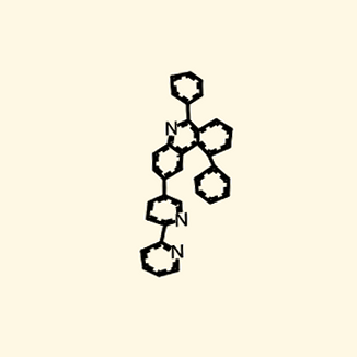 c1ccc(-c2nc3ccc(-c4ccc(-c5ccccn5)nc4)cc3c3c(-c4ccccc4)cccc23)cc1